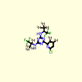 [2H]c1cc(Cl)nc(-c2nc(NC(C([2H])([2H])[2H])C(F)(F)F)nc(NC([2H])(C([2H])([2H])[2H])C(F)(F)F)n2)c1[2H]